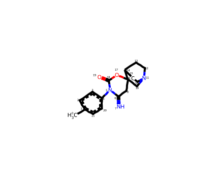 Cc1ccc(N2C(=N)CC3(CN4CCC3CC4)OC2=O)cc1